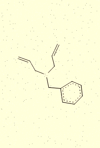 C=CCN([CH]c1ccccc1)CC=C